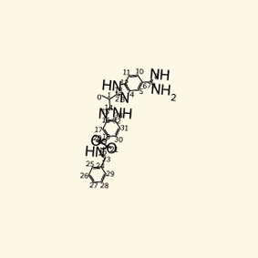 CC(c1nc2cc(C(=N)N)ccc2[nH]1)c1nc2cc(S(=O)(=O)NCc3ccccc3)ccc2[nH]1